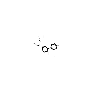 Nc1ccc(N(CCO)CCO)cc1-c1ccc(O)cc1O